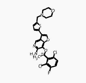 C[C@@H](Oc1c(N)ncc2c(-c3ccc(CN4CCOCC4)s3)coc12)c1c(Cl)ccc(F)c1Cl